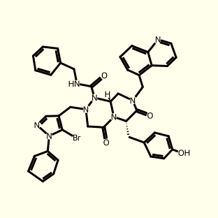 O=C1[C@H](Cc2ccc(O)cc2)N2C(=O)CN(Cc3cnn(-c4ccccc4)c3Br)N(C(=O)NCc3ccccc3)[C@H]2CN1Cc1cccc2ncccc12